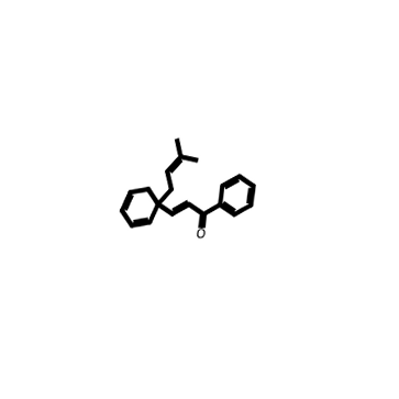 CC(C)=CCC1(C=CC(=O)c2ccccc2)C=CC=CC1